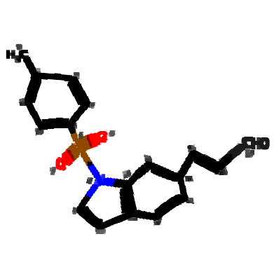 Cc1ccc(S(=O)(=O)n2ccc3ccc(C=CC=O)cc32)cc1